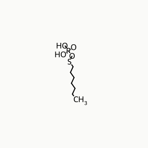 CCCCCCCSOP(=O)(O)O